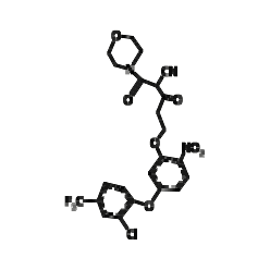 N#CC(C(=O)CCOc1cc(Oc2ccc(C(F)(F)F)cc2Cl)ccc1[N+](=O)[O-])C(=O)N1CCOCC1